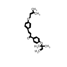 C=CC(C)(C)Oc1ccc(C(=O)C=Cc2ccc(OCC=C(C)C)cc2)cc1